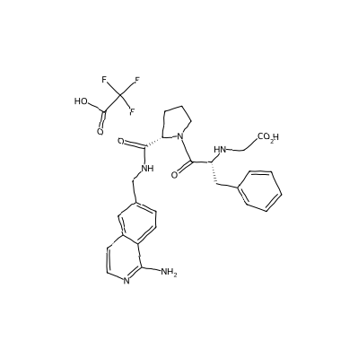 Nc1nccc2cc(CNC(=O)[C@@H]3CCCN3C(=O)[C@@H](Cc3ccccc3)NCC(=O)O)ccc12.O=C(O)C(F)(F)F